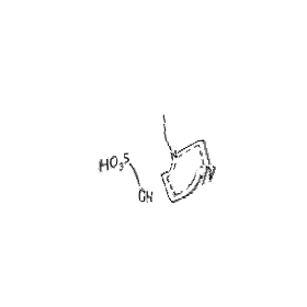 Cn1ccnc1.O=S(=O)(O)O